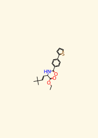 CCOC(=O)C(C=CC(C)(C)C)NC(=O)c1ccc(-c2cccs2)cc1